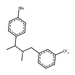 CC(c1ccc(C(C)(C)C)cc1)N(C)Cc1cccc(C(F)(F)F)c1